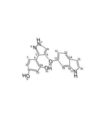 Oc1ccc(-c2n[nH]cc2Oc2ccc3cc[nH]c3c2)c(O)c1